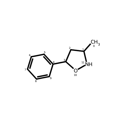 CC1CC(c2ccccc2)ON1